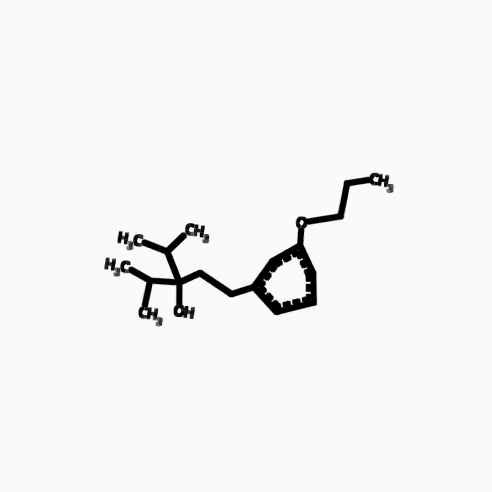 CCCOc1cccc(CCC(O)(C(C)C)C(C)C)c1